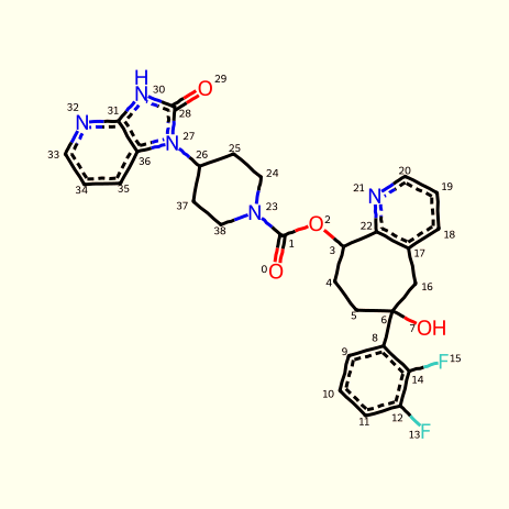 O=C(OC1CCC(O)(c2cccc(F)c2F)Cc2cccnc21)N1CCC(n2c(=O)[nH]c3ncccc32)CC1